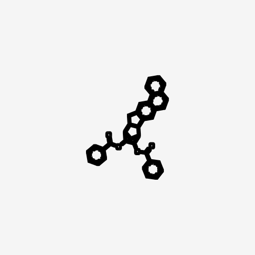 O=C(OC1C2CC(C1OC(=O)c1ccccc1)C1c3cc4ccc5ccccc5c4cc3CC21)c1ccccc1